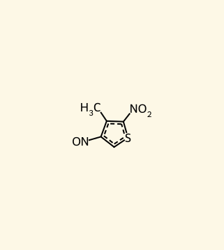 Cc1c(N=O)csc1[N+](=O)[O-]